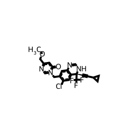 COCc1cc(=O)n(Cc2cc3c(cc2Cl)[C@@](C#CC2CC2)(C(F)(F)F)NC=N3)cn1